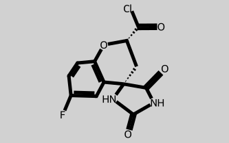 O=C1NC(=O)[C@@]2(C[C@@H](C(=O)Cl)Oc3ccc(F)cc32)N1